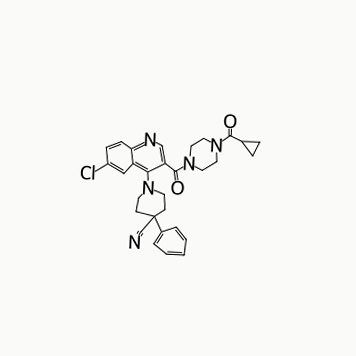 N#CC1(c2ccccc2)CCN(c2c(C(=O)N3CCN(C(=O)C4CC4)CC3)cnc3ccc(Cl)cc23)CC1